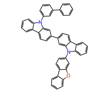 c1ccc(-c2cccc(-n3c4ccccc4c4ccc(-c5ccc6c7ccccc7n(-c7ccc8c(c7)oc7ccccc78)c6c5)cc43)c2)cc1